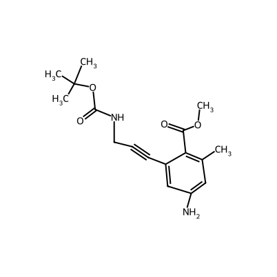 COC(=O)c1c(C)cc(N)cc1C#CCNC(=O)OC(C)(C)C